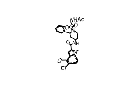 CC(=O)NS(=O)(=O)N1CC[C@@H](NC(=O)c2cc3c(Cl)c(Cl)ccc3n2C)CC1c1ccccc1